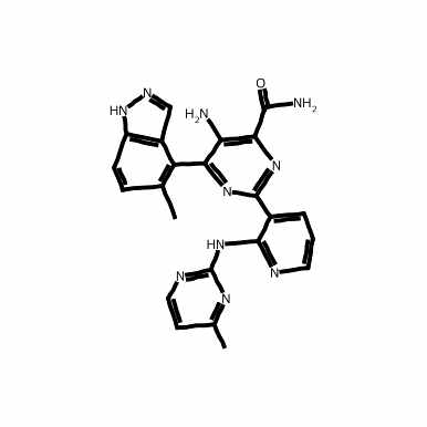 Cc1ccnc(Nc2ncccc2-c2nc(C(N)=O)c(N)c(-c3c(C)ccc4[nH]ncc34)n2)n1